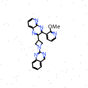 COc1ncccc1-c1nc2ncccc2nc1C1CN(c2ncc3ccccc3n2)C1